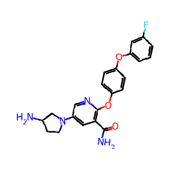 NC(=O)c1cc(N2CCC(N)C2)cnc1Oc1ccc(Oc2cccc(F)c2)cc1